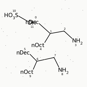 CCCCCCCCCCC(CN)CCCCCCCC.CCCCCCCCCCC(CN)CCCCCCCC.O=S(=O)(O)O